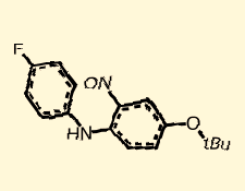 CC(C)(C)Oc1ccc(Nc2ccc(F)cc2)c(N=O)c1